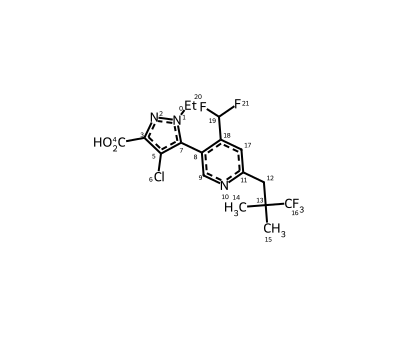 CCn1nc(C(=O)O)c(Cl)c1-c1cnc(CC(C)(C)C(F)(F)F)cc1C(F)F